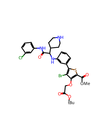 COC(=O)c1sc(-c2cccc(NC(C(=O)Nc3cccc(Cl)c3)C3CCNCC3)c2)c(Br)c1OCC(=O)OC(C)(C)C